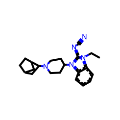 CCn1/c(=N\C#N)n(C2CCN(C3CC4CCC3C4)CC2)c2ccccc21